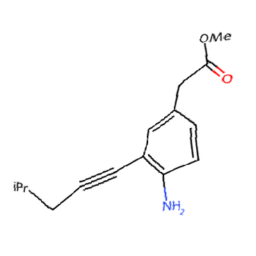 COC(=O)Cc1ccc(N)c(C#CCC(C)C)c1